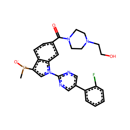 C[S+]([O-])c1cn(-c2ncc(-c3ccccc3F)cn2)c2cc(C(=O)N3CCN(CCO)CC3)ccc12